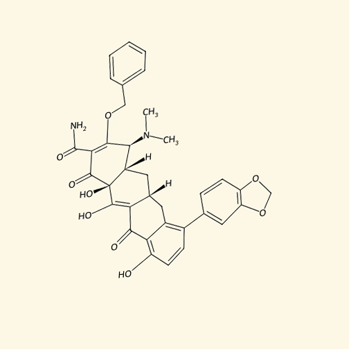 CN(C)[C@@H]1C(OCc2ccccc2)=C(C(N)=O)C(=O)[C@@]2(O)C(O)=C3C(=O)c4c(O)ccc(-c5ccc6c(c5)OCO6)c4C[C@H]3C[C@@H]12